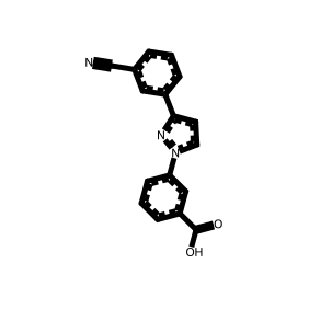 N#Cc1cccc(-c2ccn(-c3cccc(C(=O)O)c3)n2)c1